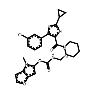 Cn1c(OC(=O)NC[C@@H]2CCCCN2C(=O)c2nc(C3CC3)sc2-c2cccc(Cl)c2)cc2occc21